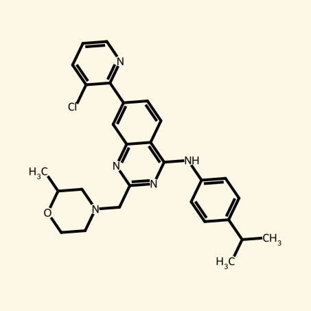 CC1CN(Cc2nc(Nc3ccc(C(C)C)cc3)c3ccc(-c4ncccc4Cl)cc3n2)CCO1